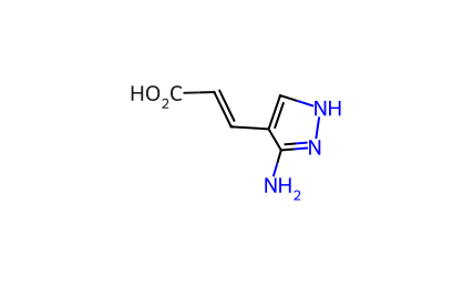 Nc1n[nH]cc1C=CC(=O)O